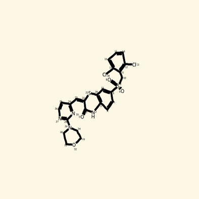 O=C1Nc2ccc(S(=O)(=O)Cc3c(Cl)cccc3Cl)cc2S/C1=C/c1ccnc(N2CCOCC2)n1